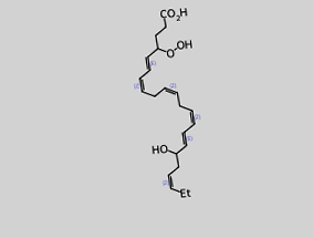 CC/C=C\CC(O)/C=C/C=C\C/C=C\C/C=C\C=C\C(CCC(=O)O)OO